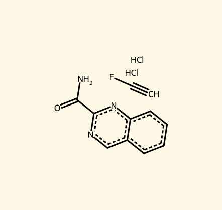 C#CF.Cl.Cl.NC(=O)c1ncc2ccccc2n1